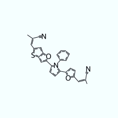 C/C(C#N)=C/c1ccc(-c2ccc(-c3cc4sc(/C=C(/C)C#N)cc4o3)n2-c2ccccc2)o1